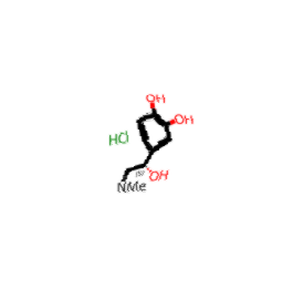 CNC[C@@H](O)c1ccc(O)c(O)c1.Cl